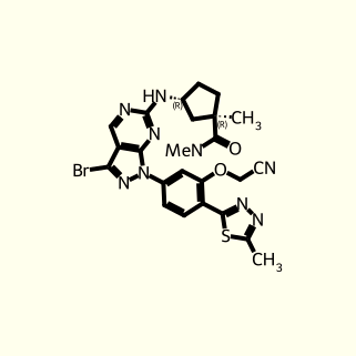 CNC(=O)[C@]1(C)CC[C@@H](Nc2ncc3c(Br)nn(-c4ccc(-c5nnc(C)s5)c(OCC#N)c4)c3n2)C1